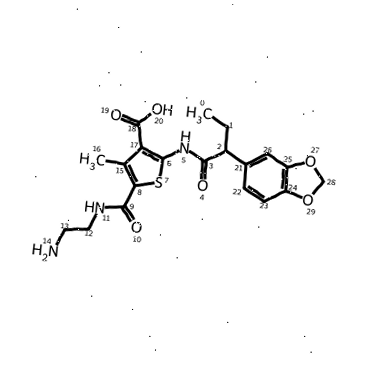 CCC(C(=O)Nc1sc(C(=O)NCCN)c(C)c1C(=O)O)c1ccc2c(c1)OCO2